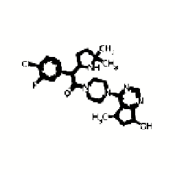 C[C@@H]1C[C@H](O)c2ncnc(N3CCN(C(=O)C(c4ccc(Cl)c(F)c4)C4CCC(C)(C)N4)CC3)c21